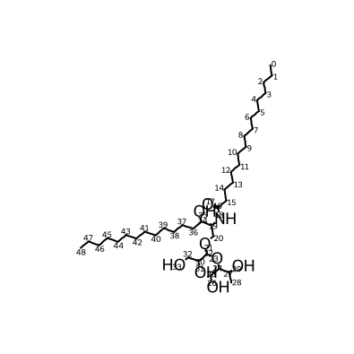 CCCCCCCCCCCCCCCCC(=O)NC(COC(OC(CO)C(C)O)[C@@H](O)CO)C(O)CCCCCCCCCCCCC